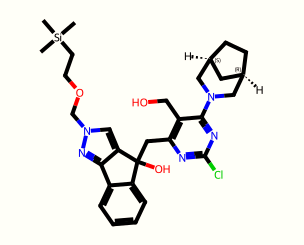 C[Si](C)(C)CCOCn1cc2c(n1)-c1ccccc1C2(O)Cc1nc(Cl)nc(N2C[C@@H]3CC[C@@H](C3)C2)c1CO